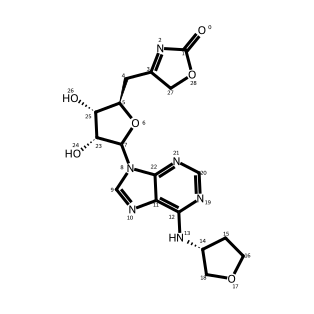 O=C1N=C(C[C@H]2OC(n3cnc4c(N[C@@H]5CCOC5)ncnc43)[C@H](O)[C@@H]2O)CO1